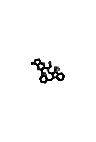 C[n+]1c(CN(C=O)c2nc3cc[nH]c3nc2N)n(Cc2ccccc2)c2ccccc21